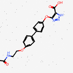 CC(=O)NCCOc1ccc(-c2ccc(Oc3nn[nH]c3C(=O)O)cc2)cc1